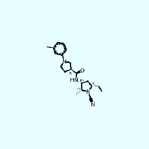 CC[C@H]1C[C@@H](NC(=O)[C@H]2CCN(c3cccc(C)c3)C2)[C@@H](C)N1C#N